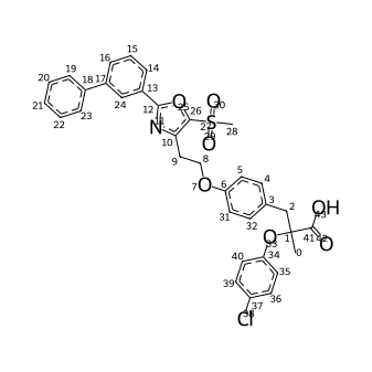 CC(Cc1ccc(OCCc2nc(-c3cccc(-c4ccccc4)c3)oc2S(C)(=O)=O)cc1)(Oc1ccc(Cl)cc1)C(=O)O